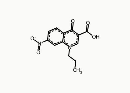 CCCn1cc(C(=O)O)c(=O)c2ccc([N+](=O)[O-])cc21